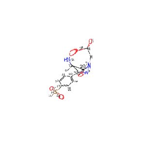 CC12NOC(=O)CN(N=C1c1ccc(S(C)(=O)=O)cc1)C2=O